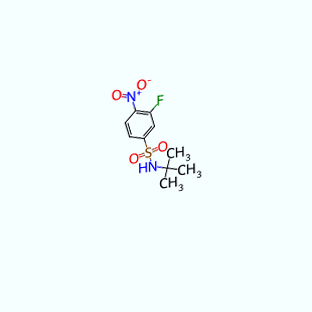 CC(C)(C)NS(=O)(=O)c1ccc([N+](=O)[O-])c(F)c1